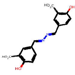 O=C(O)c1cc(C=NN=Cc2ccc(O)c(C(=O)O)c2)ccc1O